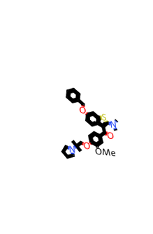 COc1cc(C(=O)c2c(N(C)C)sc3cc(OCc4ccccc4)ccc23)ccc1OCC(C)(C)N1CCCC1